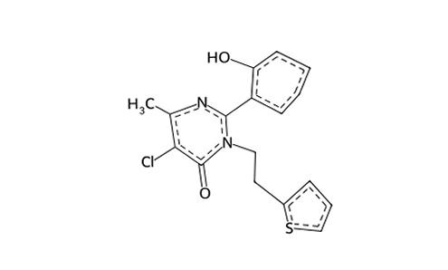 Cc1nc(-c2ccccc2O)n(CCc2cccs2)c(=O)c1Cl